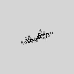 CCCN(CC)Cc1sc(-c2nc(-c3cc(C)c(CCC(=O)NCC(=O)O)c(CC)c3)no2)cc1C